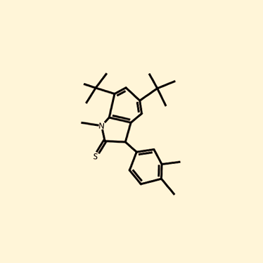 Cc1ccc(C2C(=S)N(C)c3c2cc(C(C)(C)C)cc3C(C)(C)C)cc1C